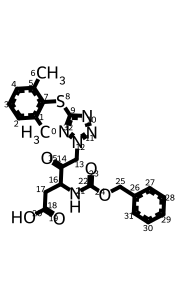 Cc1cccc(C)c1Sc1nnn(CC(=O)C(CC(=O)O)NC(=O)OCc2ccccc2)n1